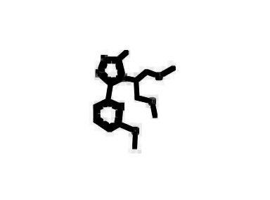 COCC(COC)n1c(C)nnc1-c1cccc(OC)n1